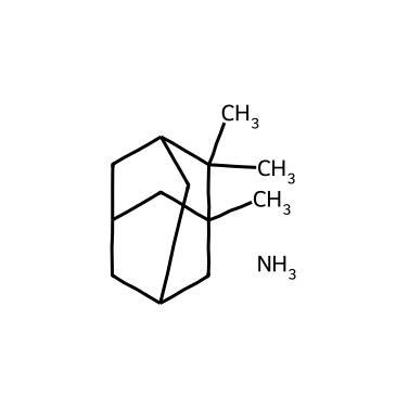 CC12CC3CC(CC(C3)C1(C)C)C2.N